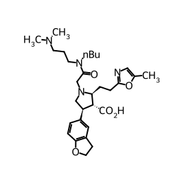 CCCCN(CCCN(C)C)C(=O)CN1C[C@H](c2ccc3c(c2)CCO3)[C@@H](C(=O)O)[C@@H]1CCc1ncc(C)o1